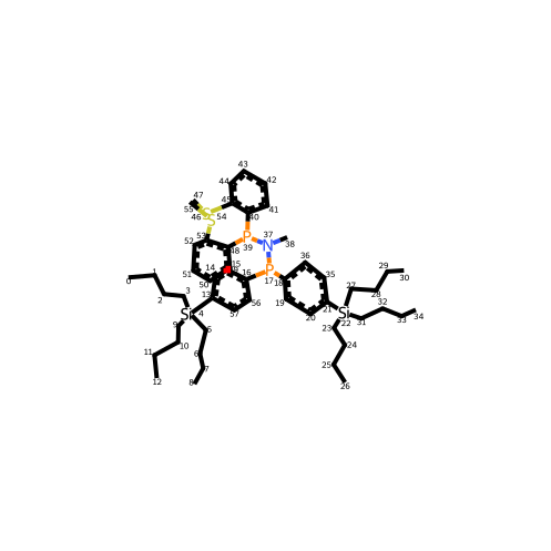 CCCC[Si](CCCC)(CCCC)c1ccc(P(c2ccc([Si](CCCC)(CCCC)CCCC)cc2)N(C)P(c2ccccc2SC)c2ccccc2SC)cc1